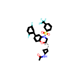 CC(=O)N[C@H]1C[C@H](C[C@H]2CN(S(=O)(=O)c3cccc(C(F)(F)F)c3)c3cc(-c4cc(F)ccc4F)ccc3O2)C1